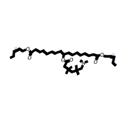 CC/C=C\COC(=O)CCCCCCCC(CCCCCCCC(=O)OC/C=C\CC)OC(=O)CC(C)(C)CC(C)(C)CN(C)C